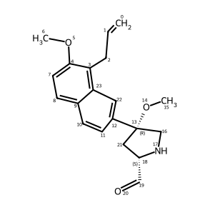 C=CCc1c(OC)ccc2ccc([C@@]3(OC)CN[C@H](C=O)C3)cc12